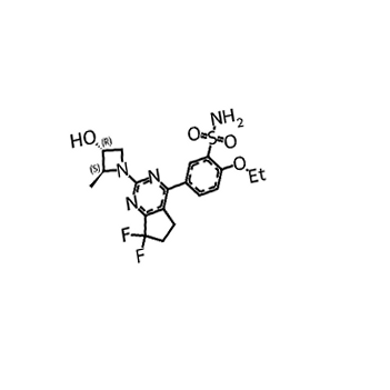 CCOc1ccc(-c2nc(N3C[C@@H](O)[C@@H]3C)nc3c2CCC3(F)F)cc1S(N)(=O)=O